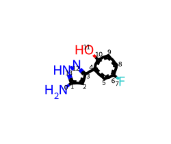 Nc1cc(-c2cc(F)ccc2O)n[nH]1